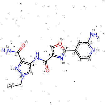 CC(C)Cn1cc(NC(=O)c2coc(-c3ccnc(N)c3)n2)c(C(N)=O)n1